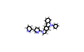 c1ccc(-n2c3ccccc3c3cc4c(ccn4-c4ccc(-c5cccnc5)cn4)cc32)cc1